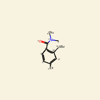 CCc1ccc(C(=O)N(C)C(C)(C)C)c(C(C)(C)C)c1